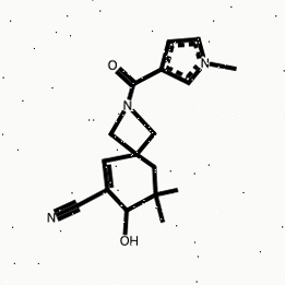 Cn1ccc(C(=O)N2CC3(C=C(C#N)C(O)C(C)(C)C3)C2)c1